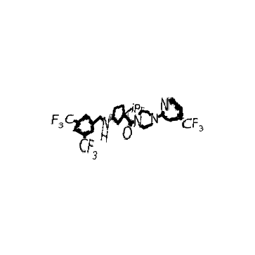 CC(C)[C@]1(C(=O)N2CCN(c3cc(C(F)(F)F)ccn3)CC2)CC[C@@H](NCc2cc(C(F)(F)F)cc(C(F)(F)F)c2)C1